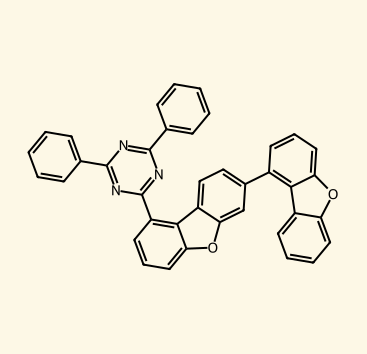 c1ccc(-c2nc(-c3ccccc3)nc(-c3cccc4oc5cc(-c6cccc7oc8ccccc8c67)ccc5c34)n2)cc1